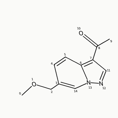 COCc1ccc2c(C(C)=O)cnn2c1